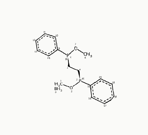 B.CO[P@@](CC[P@](OC)c1ccccc1)c1ccccc1